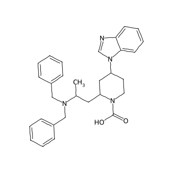 CC(CC1CC(n2cnc3ccccc32)CCN1C(=O)O)N(Cc1ccccc1)Cc1ccccc1